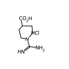 Cl.N=C(N)N1CCC(C(=O)O)CC1